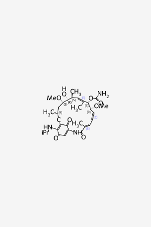 CO[C@H]1C[C@H](C)CC2=C(NC(C)C)C(=O)C=C(NC(=O)/C(C)=C/C=C\[C@@H](OC)[C@@H](OC(N)=O)/C(C)=C/[C@H](C)[C@H]1O)C2=O